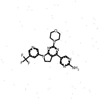 Nc1ncc(-c2nc(N3CCOCC3)nc3c2CCN3c2cncc(C(F)(F)F)c2)cn1